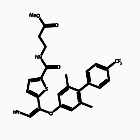 CCC/C=C(/Oc1cc(C)c(-c2ccc(C(F)(F)F)cc2)c(C)c1)c1ccc(C(=O)NCCC(=O)OC)s1